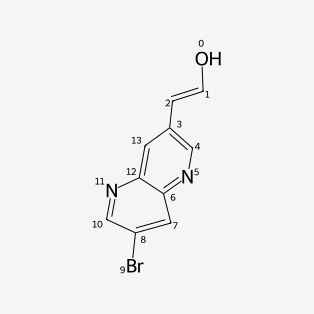 O/C=C/c1cnc2cc(Br)cnc2c1